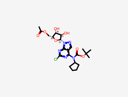 CC(=O)OC[C@H]1O[C@@H](n2ncc3c(N(C(=O)OC(C)(C)C)C4CCCC4)nc(Cl)nc32)[C@H](O)[C@H]1O